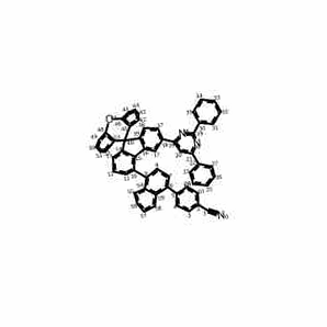 N#Cc1ccc(-c2ccc(-c3cccc4c3-c3cc(-c5cc(-c6ccccc6)nc(-c6ccccc6)n5)ccc3C43c4ccccc4Oc4ccccc43)c3ccccc23)cc1